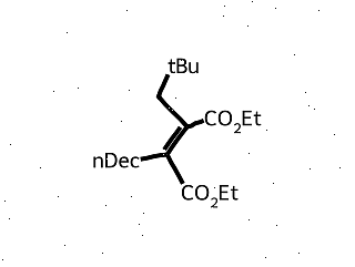 CCCCCCCCCCC(C(=O)OCC)=C(CC(C)(C)C)C(=O)OCC